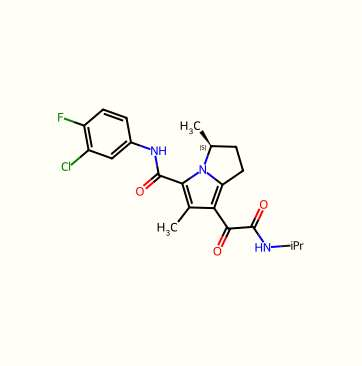 Cc1c(C(=O)C(=O)NC(C)C)c2n(c1C(=O)Nc1ccc(F)c(Cl)c1)[C@@H](C)CC2